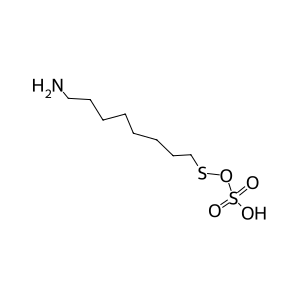 NCCCCCCCCSOS(=O)(=O)O